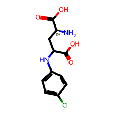 N[C@@H](CC(Nc1ccc(Cl)cc1)C(=O)O)C(=O)O